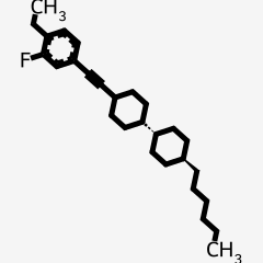 CCCCCC[C@H]1CC[C@H](C2CCC(C#Cc3ccc(CC)c(F)c3)CC2)CC1